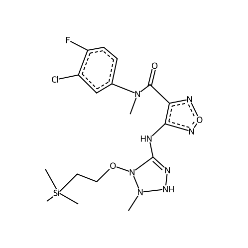 CN(C(=O)c1nonc1NC1=NNN(C)N1OCC[Si](C)(C)C)c1ccc(F)c(Cl)c1